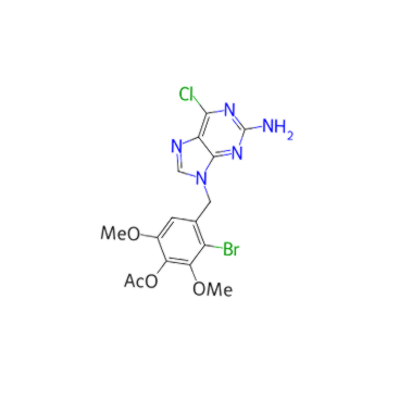 COc1cc(Cn2cnc3c(Cl)nc(N)nc32)c(Br)c(OC)c1OC(C)=O